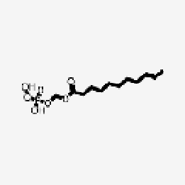 CC=CCCCCCCCC(=O)OCOP(=O)(O)OO